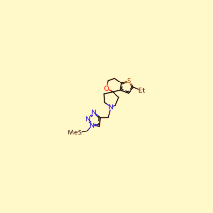 CCc1cc2c(s1)CCOC21CCN(Cc2cn(CSC)nn2)CC1